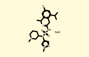 CC(C)c1cc(F)cc(C(C)C)c1CC(=O)NS(=O)(=O)N(c1cnn(C)c1)C1CCCN(C)C1.[NaH]